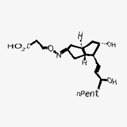 CCCCCC(O)C=C[C@H]1[C@@H]2CC(=NOCCC(=O)O)C[C@H]2C[C@@H]1O